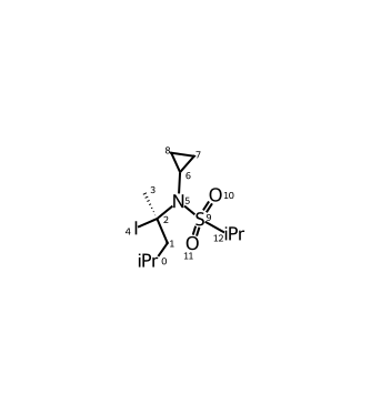 CC(C)C[C@@](C)(I)N(C1CC1)S(=O)(=O)C(C)C